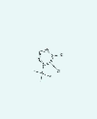 CC(F)(F)c1ncnc(Cl)c1Cl